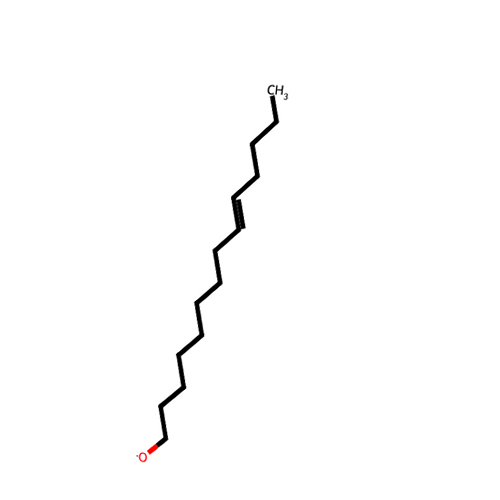 CCCCC=CCCCCCCCC[O]